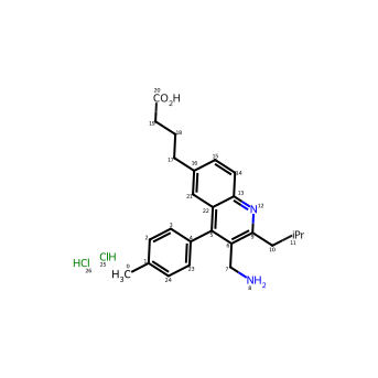 Cc1ccc(-c2c(CN)c(CC(C)C)nc3ccc(CCCC(=O)O)cc23)cc1.Cl.Cl